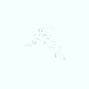 CC(C)COC(=O)Nc1ccc(NC(=O)OCC(C)C)c(OC(F)=C(F)C(F)(F)C(F)(F)C(F)(F)C(F)(F)C(F)(F)C(F)(F)C(F)(F)F)c1